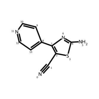 N#Cc1sc(N)nc1-c1ccncc1